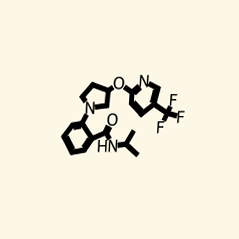 CC(C)NC(=O)c1ccccc1N1CCC(Oc2ccc(C(F)(F)F)cn2)C1